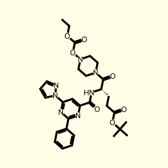 CCOC(=O)ON1CCN(C(=O)[C@H](CCC(=O)OC(C)(C)C)NC(=O)c2cc(-n3cccn3)nc(-c3ccccc3)n2)CC1